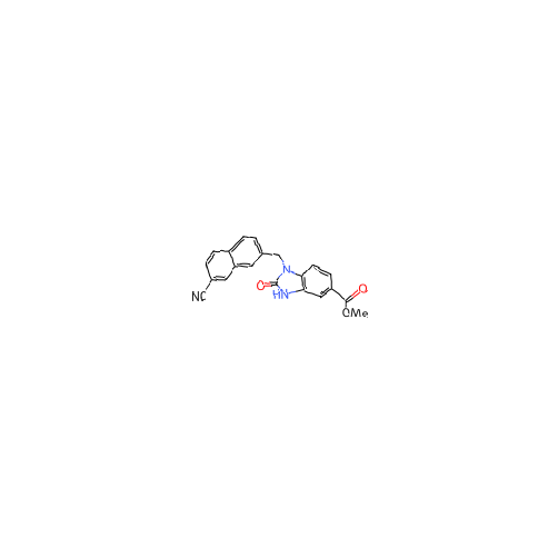 COC(=O)c1ccc2c(c1)[nH]c(=O)n2Cc1ccc2ccc(C#N)cc2c1